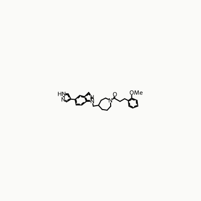 COc1ccccc1CCC(=O)N1CCCC(Cn2ncc3cc(-c4cn[nH]c4)ccc32)CC1